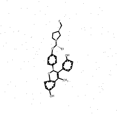 CC[C@H](Oc1ccc([C@@H]2Oc3ccc(O)cc3C(C)=C2c2cccc(O)c2)cc1)N1CC[C@@H](CF)C1